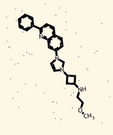 COCCNC1CC(N2C=CN(c3ccc4ccc(-c5ccccc5)nc4c3)C2)C1